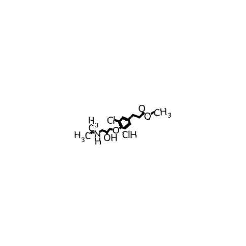 CCOC(=O)CCc1ccc(OCC(O)CNC(C)C)c(Cl)c1.Cl